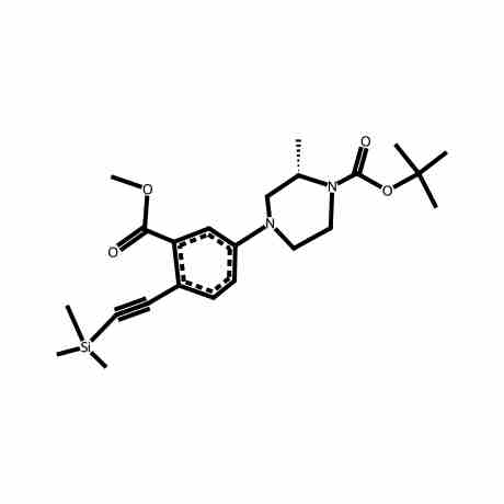 COC(=O)c1cc(N2CCN(C(=O)OC(C)(C)C)[C@@H](C)C2)ccc1C#C[Si](C)(C)C